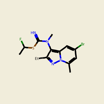 CCc1nn2c(C)cc(Br)cc2c1N(C)C(=N)SC(C)F